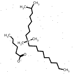 CCCCCC(=O)[O-].CCCCCCCCCC[N+](C)(C)CCCCCCC(C)C